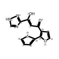 O=C(C=C(O)c1nc[nH]n1)c1ccoc1-c1cccs1